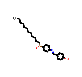 CCCCCCCCCCCC[S+]([O-])c1ccc(N=Cc2ccc(O)cc2)cc1